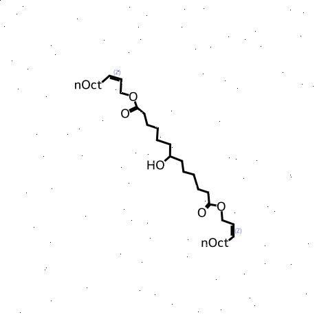 CCCCCCCC/C=C\COC(=O)CCCCCC(O)CCCCCC(=O)OC/C=C\CCCCCCCC